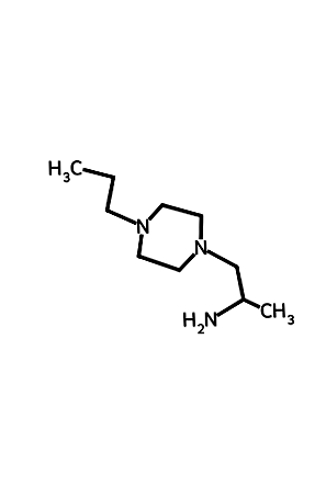 CCCN1CCN(CC(C)N)CC1